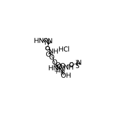 CNc1ccc2ncc(-c3cccc(NC(=O)COCCOCC(=O)N[C@H](C(=O)N4C[C@H](O)C[C@H]4C(=O)NCc4ccc(-c5scnc5C)cc4)C(C)(C)C)c3)n2c1.Cl